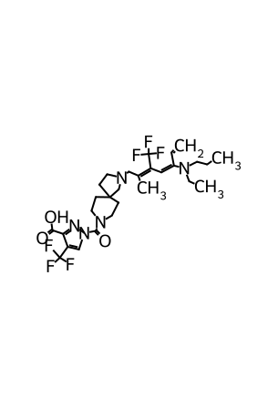 C=C/C(=C\C(=C(/C)CN1CCC2(CCN(C(=O)n3cc(C(F)(F)F)c(C(=O)O)n3)CC2)C1)C(F)(F)F)N(CC)CCC